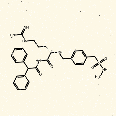 CNS(=O)(=O)Cc1ccc(CN[C@@H](CCCNC(=N)N)C(=O)NC(=O)C(c2ccccc2)c2ccccc2)cc1